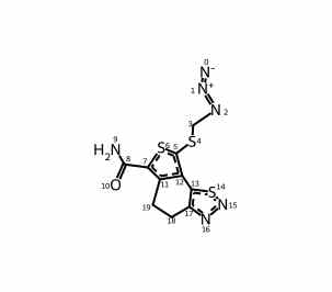 [N-]=[N+]=NCSc1sc(C(N)=O)c2c1-c1snnc1CC2